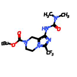 CN(C)C(=O)Nc1nc(C(F)(F)F)n2c1CN(C(=O)OC(C)(C)C)CC2